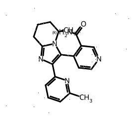 Cc1cccc(-c2nc3n(c2-c2ccncc2C(N)=O)[C@H](C)CCC3)n1